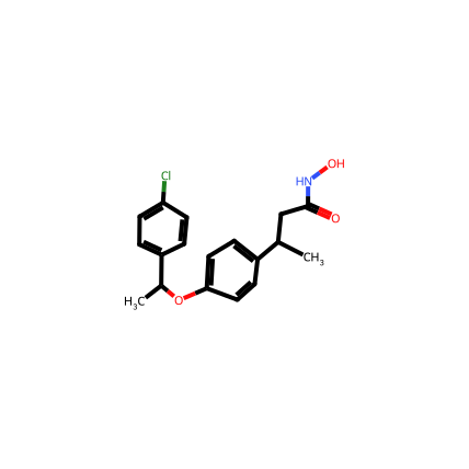 CC(CC(=O)NO)c1ccc(OC(C)c2ccc(Cl)cc2)cc1